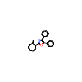 C=C1CCCCCC1c1nc(-c2ccccc2)c(-c2ccccc2)o1